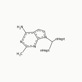 CCCCCCCC(CCCCCCC)n1ccc2c(N)nc(C)nc21